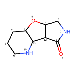 O=C1NCC2OC3CCCNC3C12